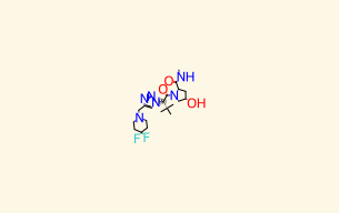 CNC(=O)C1CC(O)CN1C(=O)[C@@H](n1cc(CN2CCC(F)(F)CC2)nn1)C(C)(C)C